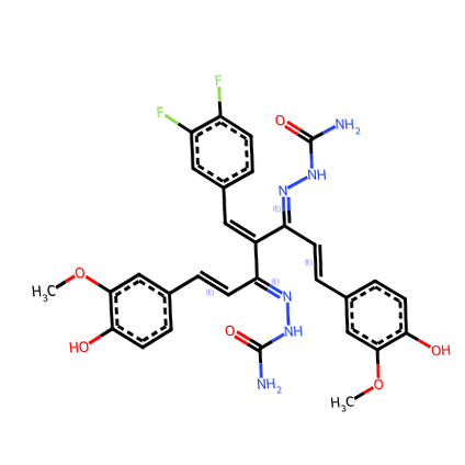 COc1cc(/C=C/C(=N\NC(N)=O)C(=Cc2ccc(F)c(F)c2)C(/C=C/c2ccc(O)c(OC)c2)=N/NC(N)=O)ccc1O